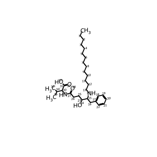 CCCCCCCCCCCCCCNC(Cc1ccccc1)C(O)CCC(=O)NC(C(=O)O)C(C)C